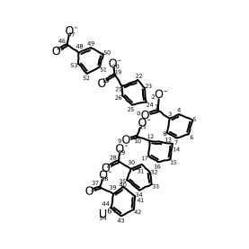 O=C([O-])c1ccccc1.O=C([O-])c1ccccc1.O=C([O-])c1ccccc1.O=C([O-])c1ccccc1.O=C([O-])c1ccccc1.O=C([O-])c1ccccc1.[U+6]